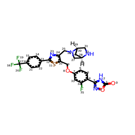 O=c1[nH]c(-c2ccc(OCc3sc(-c4ccc(C(F)(F)F)cc4)nc3CN3C[C@H]4C[C@@H]3CN4)cc2F)no1